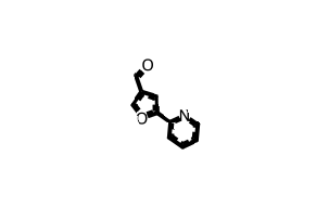 O=Cc1coc(-c2ccccn2)c1